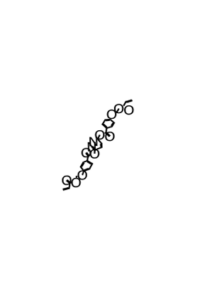 C=CC(=O)OCOc1ccc(C(=O)Oc2ccc(OC(=O)c3ccc(OCOC(=O)C=C)cc3)nn2)cc1